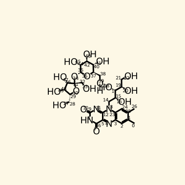 Cc1cc2nc3c(=O)[nH]c(=O)nc-3n(C[C@H](O)[C@H](O)[C@H](O)CO)c2cc1C.OC[C@H]1O[C@@](CO)(O[C@H]2O[C@H](CO)[C@@H](O)[C@H](O)[C@H]2O)[C@@H](O)[C@@H]1O